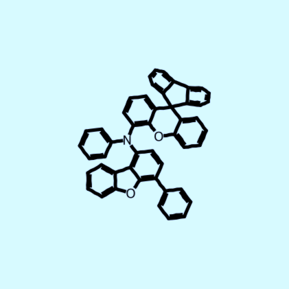 c1ccc(-c2ccc(N(c3ccccc3)c3cccc4c3Oc3ccccc3C43c4ccccc4-c4ccccc43)c3c2oc2ccccc23)cc1